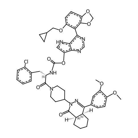 COc1ccc(C2=NN(C3CCN(C(=O)[C@H](Cc4ccccc4Cl)NC(=O)Oc4c[nH]c5c(-c6c(OCC7CC7)ccc7c6OCO7)ncnc45)CC3)C(=O)[C@@H]3CCCC[C@H]23)cc1OC